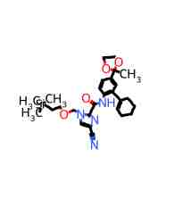 CC1(c2ccc(NC(=O)c3nc(C#N)cn3COCC[Si](C)(C)C)c(C3=CCCCC3)c2)OCCO1